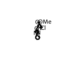 COC(=O)c1cc(Cl)nc(Oc2cnc(N3CCCCCC3)nc2)c1